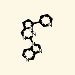 c1cncc(-c2ccc3cnc(-n4cnc5cnccc54)nn23)c1